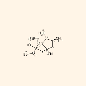 CCOC(CC1(C#N)C[C@H](C)[C@@H](C)C1)(OCC)OCC